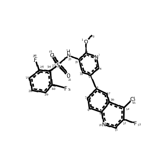 COc1ncc(-c2ccc3ncc(F)c(Cl)c3c2)cc1NS(=O)(=O)c1c(F)cccc1F